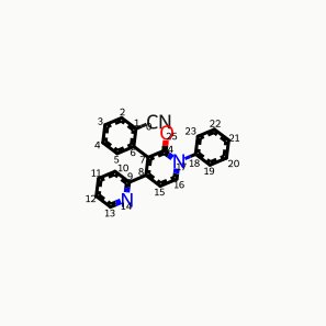 N#Cc1ccccc1-c1c(-c2ccccn2)ccn(-c2ccccc2)c1=O